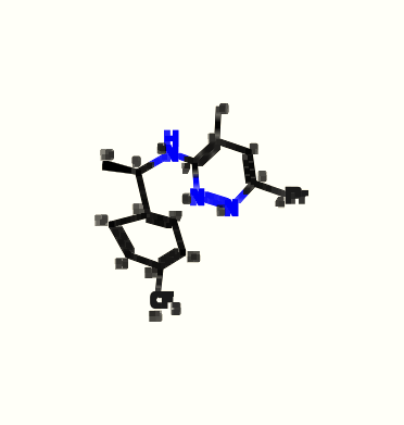 Cc1cc(C(C)C)nnc1N[C@H](C)c1ccc(C(F)(F)F)cc1